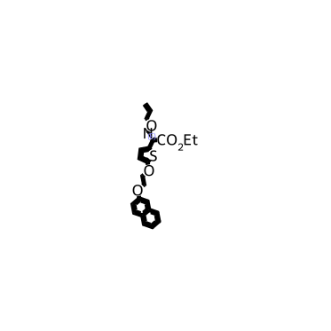 C=CCO/N=C(\C(=O)OCC)c1ccc(OCCOc2ccc3ccccc3c2)s1